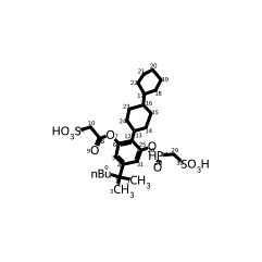 CCCCC(C)(C)c1cc(OC(=O)CS(=O)(=O)O)c(C2CCC(C3CCCCC3)CC2)c(O[PH](=O)CS(=O)(=O)O)c1